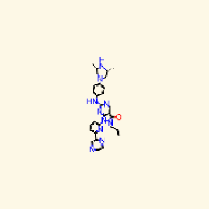 C=CCn1c(=O)c2cnc(Nc3ccc(N4C[C@@H](C)N[C@H](C)C4)cc3)nc2n1-c1cccc(-c2cnccn2)n1